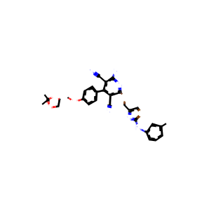 Cc1cccc(Nc2nc(CSc3nc(N)c(C#N)c(-c4ccc(OC[C@@H]5COC(C)(C)O5)cc4)c3C#N)cs2)c1